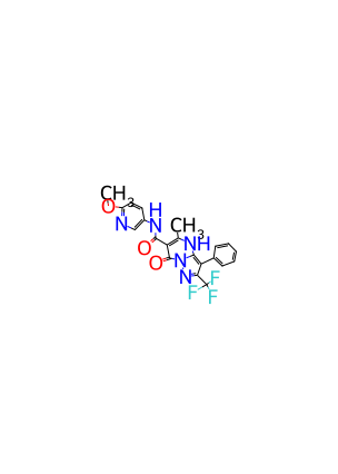 COc1ccc(NC(=O)c2c(C)[nH]c3c(-c4ccccc4)c(C(F)(F)F)nn3c2=O)cn1